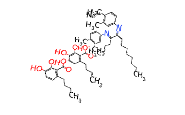 CCCCCCCCC(=Nc1ccc(C)c(C)c1)C(CCCC)=Nc1ccc(C)c(C)c1.CCCCc1ccc(O)c(O)c1C(=O)[O-].CCCCc1ccc(O)c(O)c1C(=O)[O-].[Ni+2]